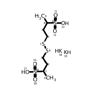 CC(CCSSCCC(C)S(=O)(=O)O)S(=O)(=O)O.[KH].[KH]